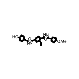 C=Cc1cc(-c2nnc(-c3ccc(O)cc3)o2)ccc1-c1nnc(-c2ccc(OC)cc2)o1